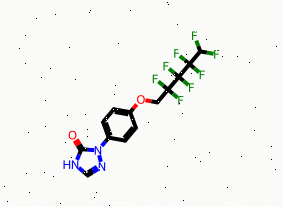 O=c1[nH]cnn1-c1ccc(OCC(F)(F)C(F)(F)C(F)(F)C(F)F)cc1